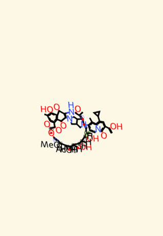 C=C(O)c1cc(C2CC2)c2c(C)c(N3CC4CN(C5=C6NC(=O)/C(C)=C\C=C\[C@H](C)[C@H](O)[C@@H](C)[C@@H](O)[C@@H](C)[C@H](OC(C)=O)[C@H](C)[C@@H](OC)/C=C/O[C@@]7(C)Oc8c(C)c(O)c(c(c8C7=O)C5=O)C6=O)CC4C3)c(F)cn2c1=O